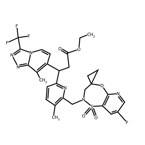 CCOC(=O)CC(c1ccc(C)c(CN2CC3(CC3)Oc3ncc(F)cc3S2(=O)=O)n1)c1ccn2c(C(F)(F)F)nnc2c1C